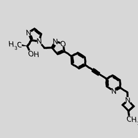 CC1CN(Cc2ccc(C#Cc3ccc(-c4cc(Cn5ccnc5[C@H](C)O)no4)cc3)cn2)C1